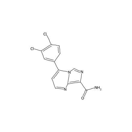 NC(=O)c1ncn2c(-c3ccc(Cl)c(Cl)c3)ccnc12